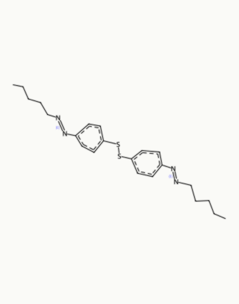 CCCCC/N=N/c1ccc(SSc2ccc(/N=N/CCCCC)cc2)cc1